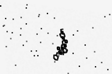 CCN1CCN(C(=O)Cc2cn3c(C(=O)NCC4CCCCC4)cccc3n2)CC1